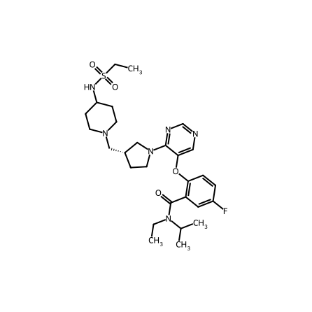 CCN(C(=O)c1cc(F)ccc1Oc1cncnc1N1CC[C@H](CN2CCC(NS(=O)(=O)CC)CC2)C1)C(C)C